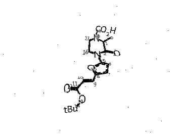 CC1C(=O)N(c2ccc(C=CC(=O)OC(C)(C)C)o2)CCN1C(=O)O